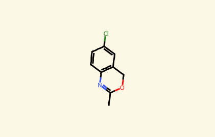 CC1=Nc2ccc(Cl)cc2CO1